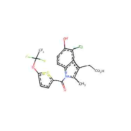 Cc1c(CC(=O)O)c2c(Cl)c(O)ccc2n1C(=O)c1ccc(OC(F)(F)C(F)(F)F)s1